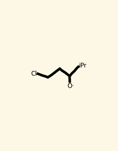 CC(C)C([O])CCCl